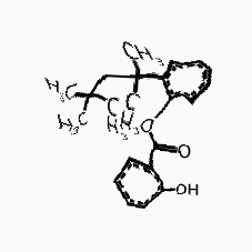 CC(C)(C)CC(C)(C)c1ccccc1OC(=O)c1ccccc1O